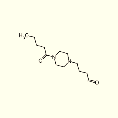 CCCCC(=O)N1CCN(CCC[C]=O)CC1